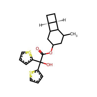 CC1CC(OC(=O)C(O)(c2cccs2)c2cccs2)CC2C1[C@@H]1CC[C@H]21